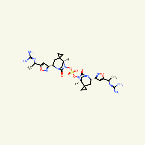 CC(N=C(N)N)c1cc([C@@H]2CC3(CC3)[C@@H]3CN2C(=O)N3OS(=O)(=O)ON2C(=O)N3C[C@H]2C2(CC2)C[C@H]3c2cc(C(C)N=C(N)N)on2)no1